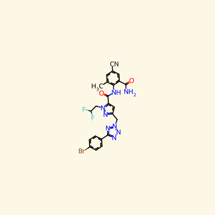 Cc1cc(C#N)cc(C(N)=O)c1NC(=O)c1cc(Cn2nnc(-c3ccc(Br)cc3)n2)nn1CC(F)F